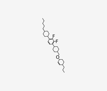 CCCCCC1CCC(c2ccc(C3CCC(COC4C=CC(CCC)CC4)CC3)c(F)c2F)CC1